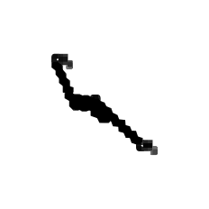 CCCCCCCCCCc1ccc2cc3c(cc2c1)oc1cc2cc(CCCCCCCCCC)ccc2cc13